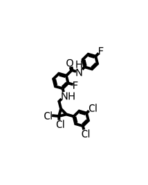 O=C(Nc1ccc(F)cc1)c1cccc(NCC2C(c3cc(Cl)cc(Cl)c3)C2(Cl)Cl)c1F